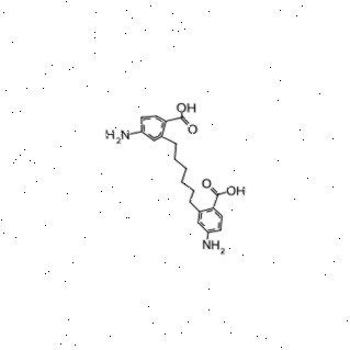 Nc1ccc(C(=O)O)c(CCCCCCc2cc(N)ccc2C(=O)O)c1